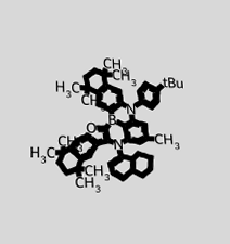 Cc1cc2c3c(c1)N(c1ccc(C(C)(C)C)cc1)c1cc4c(cc1B3c1oc3cc5c(cc3c1N2C1=CC=CC2CCCCC12)C(C)(C)CCC5(C)C)C(C)(C)CCC4(C)C